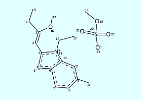 CCC(=Cc1sc2ccc(C)cc2[n+]1CC)OC.COS(=O)(=O)[O-]